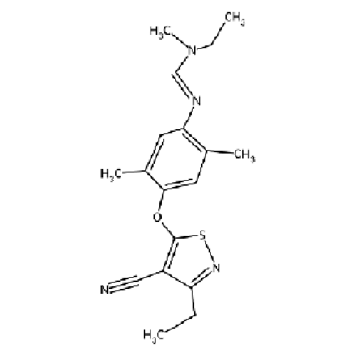 CCc1nsc(Oc2cc(C)c(N=CN(C)CC)cc2C)c1C#N